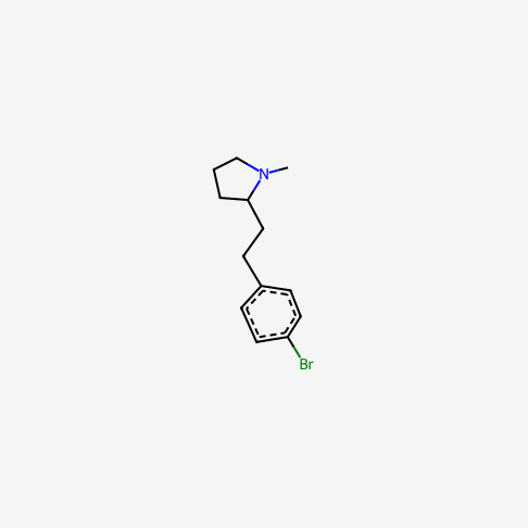 CN1CCCC1CCc1ccc(Br)cc1